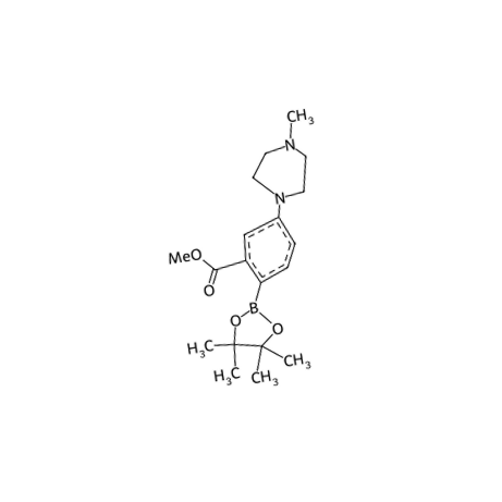 COC(=O)c1cc(N2CCN(C)CC2)ccc1B1OC(C)(C)C(C)(C)O1